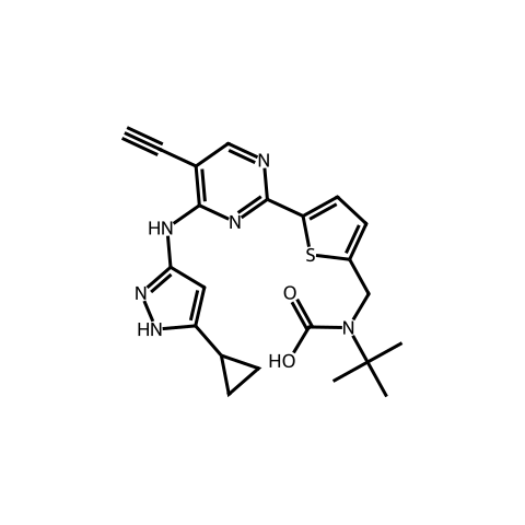 C#Cc1cnc(-c2ccc(CN(C(=O)O)C(C)(C)C)s2)nc1Nc1cc(C2CC2)[nH]n1